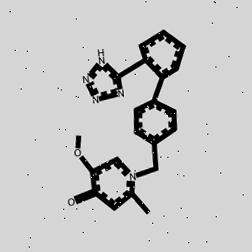 COc1cn(Cc2ccc(-c3ccccc3-c3nnn[nH]3)cc2)c(C)cc1=O